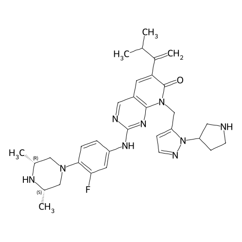 C=C(c1cc2cnc(Nc3ccc(N4C[C@@H](C)N[C@@H](C)C4)c(F)c3)nc2n(Cc2ccnn2C2CCNC2)c1=O)C(C)C